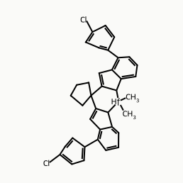 [CH3][Hf]1([CH3])[CH]2C(=Cc3c(-c4ccc(Cl)cc4)cccc32)C2(CCCC2)C2=Cc3c(-c4ccc(Cl)cc4)cccc3[CH]21